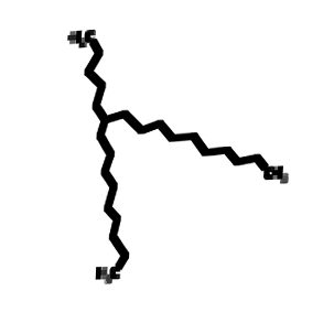 [CH2]CCCCC(CCCCCCCCC)CCCCCCCCCC